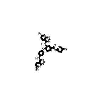 CC(C)c1ccc2c(Nc3ccc(Sc4ccc(C(=O)Nc5ccc(Br)cn5)cc4Nc4ncnc5nc(C(C)C)ccc45)cc3)ncnc2n1